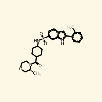 Cc1ccccc1-c1cc2ccc(S(=O)(=O)NC3CCC(C(=O)N4CCOC[C@@H]4C)CC3)cc2[nH]1